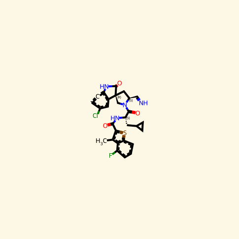 Cc1c(C(=O)N[C@@H](CC2CC2)C(=O)N2C[C@]3(C[C@H]2C=N)C(=O)Nc2ccc(Cl)cc23)sc2cccc(F)c12